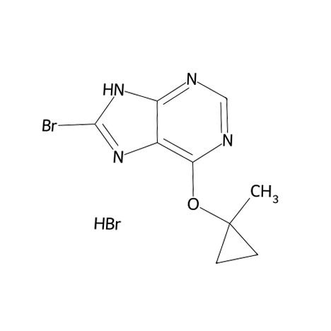 Br.CC1(Oc2ncnc3[nH]c(Br)nc23)CC1